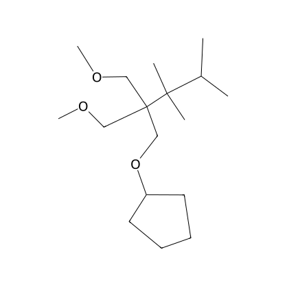 COCC(COC)(COC1CCCC1)C(C)(C)C(C)C